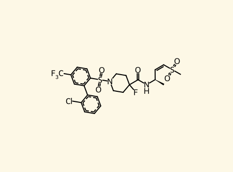 C[C@H](/C=C\S(C)(=O)=O)NC(=O)C1(F)CCN(S(=O)(=O)c2ccc(C(F)(F)F)cc2-c2ccccc2Cl)CC1